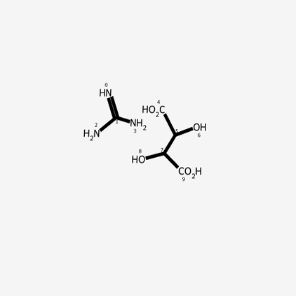 N=C(N)N.O=C(O)C(O)C(O)C(=O)O